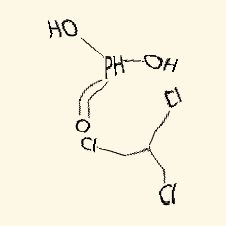 ClC(Cl)Cl.O=[PH](O)O